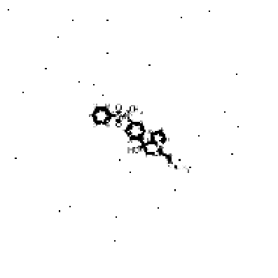 CCC(O)(c1ccc(N(C)S(=O)(=O)c2ccccc2)cc1)c1cccn1CCOC